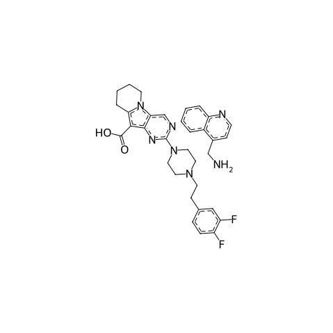 NCc1ccnc2ccccc12.O=C(O)c1c2n(c3cnc(N4CCN(CCc5ccc(F)c(F)c5)CC4)nc13)CCCC2